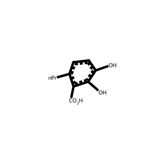 CCCc1ccc(O)c(O)c1C(=O)O